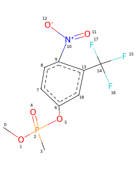 COP(C)(=O)Oc1ccc([N+](=O)[O-])c(C(F)(F)F)c1